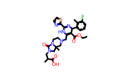 CCOC(=O)C1=C(CN2CCN3C(=O)N(CC(C)C(=O)O)CC3(C)C2)NC(c2nccs2)=NC1c1cccc(F)c1C